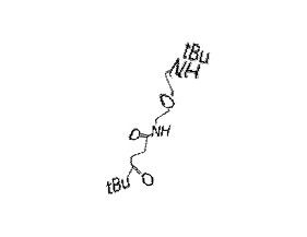 CC(C)(C)NCCOCCNC(=O)CCC(=O)C(C)(C)C